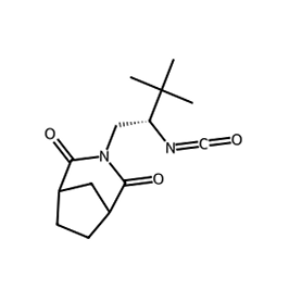 CC(C)(C)[C@@H](CN1C(=O)C2CCC(C2)C1=O)N=C=O